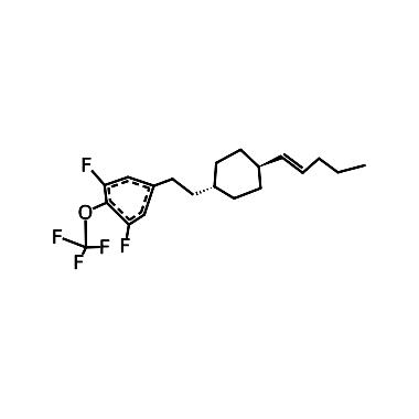 CCC/C=C/[C@H]1CC[C@H](CCc2cc(F)c(OC(F)(F)F)c(F)c2)CC1